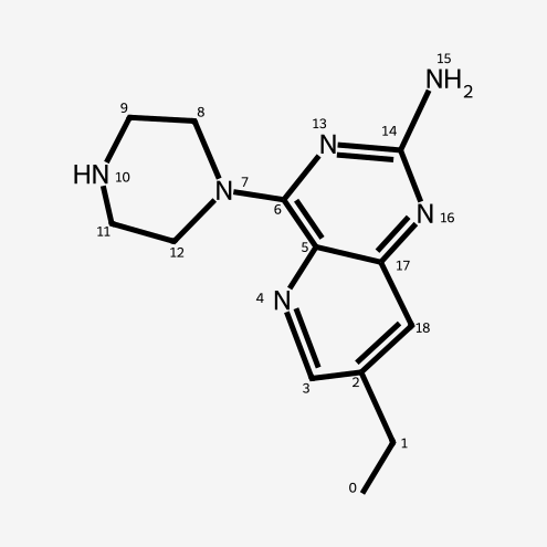 CCc1cnc2c(N3CCNCC3)nc(N)nc2c1